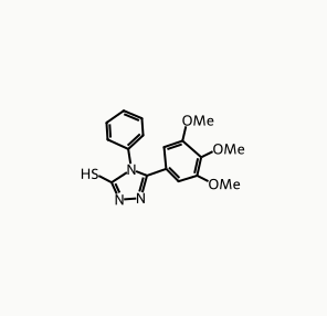 COc1cc(-c2nnc(S)n2-c2ccccc2)cc(OC)c1OC